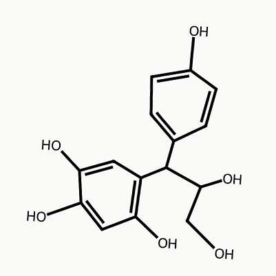 OCC(O)C(c1ccc(O)cc1)c1cc(O)c(O)cc1O